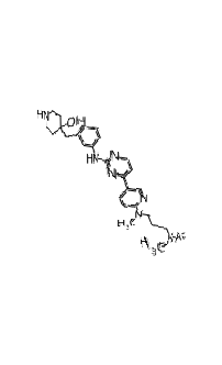 CC(=O)N(C)CCCN(C)c1ccc(-c2ccnc(Nc3cccc(CC4(O)CCNCC4)c3)n2)cn1